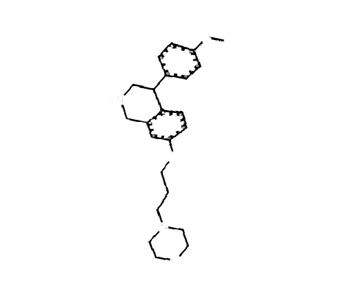 COc1ccc(C2CNCc3cc(OCCCN4CCOCC4)ccc32)cc1